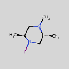 C[C@@H]1CN(I)[C@@H](C)CN1C